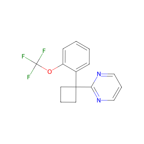 FC(F)(F)Oc1ccccc1C1(c2ncccn2)CCC1